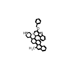 CC1C=c2ccccc2=c2ccc3c(c21)CCC(C1CCNCC1)C=3C1N=CC(OCc2ccccc2)=C2N=c3c[c]ccc3=C21